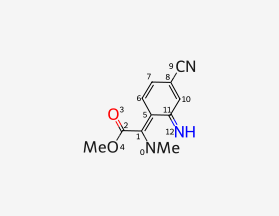 CN/C(C(=O)OC)=C1/C=CC(C#N)=CC1=N